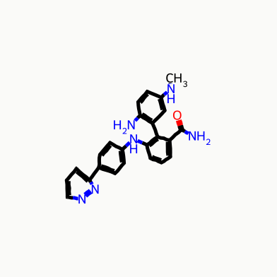 CNc1ccc(N)c(-c2c(Nc3ccc(-c4cccnn4)cc3)cccc2C(N)=O)c1